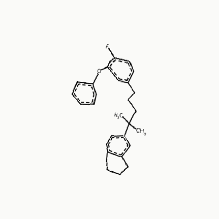 CC(C)(CCCc1ccc(F)c(Oc2ccccc2)c1)c1ccc2c(c1)CCC2